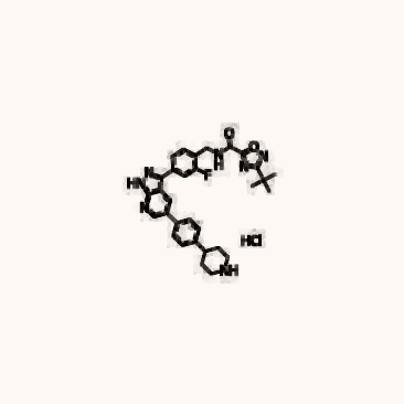 CC(C)(C)c1noc(C(=O)NCc2ccc(-c3n[nH]c4ncc(-c5ccc(C6CCNCC6)cc5)cc34)cc2F)n1.Cl